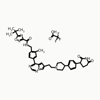 Cc1cc(-c2ncnn3cc(CCN4CCC(c5ccc(C6CCC(=O)NC6=O)cc5)CC4)cc23)ccc1CNC(=O)c1noc(C(C)(C)C)n1.O=C(O)C(F)(F)F